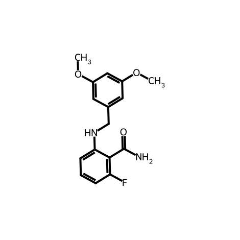 COc1cc(CNc2cccc(F)c2C(N)=O)cc(OC)c1